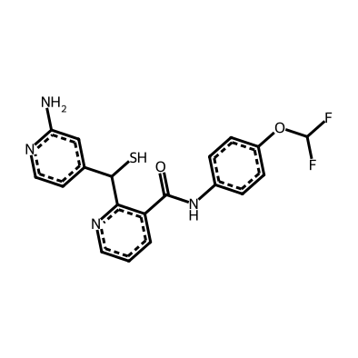 Nc1cc(C(S)c2ncccc2C(=O)Nc2ccc(OC(F)F)cc2)ccn1